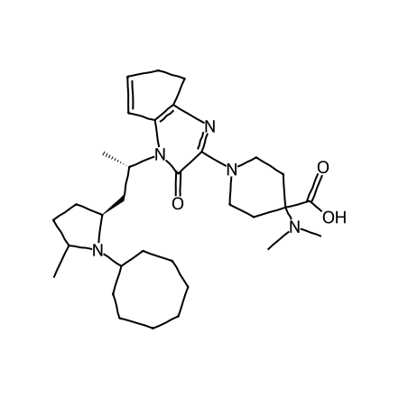 CC1CC[C@@H](C[C@H](C)n2c3c(nc(N4CCC(C(=O)O)(N(C)C)CC4)c2=O)CCC=C3)N1C1CCCCCCC1